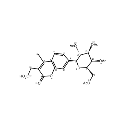 CC(=O)OC[C@H]1O[C@@H](c2ccc3c(C)c(CC(=O)O)c(=O)oc3c2)[C@H](OC(C)=O)[C@@H](OC(C)=O)[C@H]1OC(C)=O